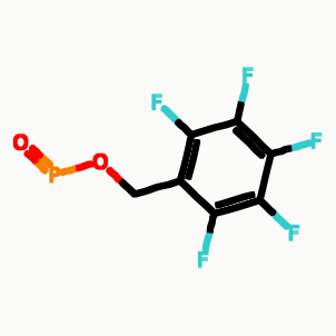 O=POCc1c(F)c(F)c(F)c(F)c1F